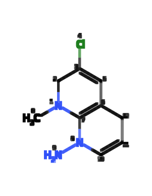 CN1CC(Cl)=CC2=C1N(N)C=CC2